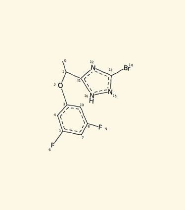 CC(Oc1cc(F)cc(F)c1)c1nc(Br)n[nH]1